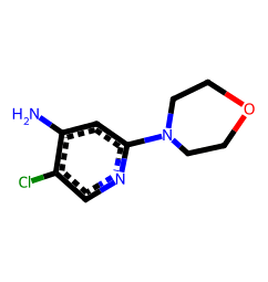 Nc1cc(N2CCOCC2)ncc1Cl